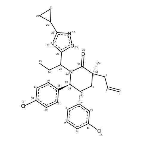 C=CC[C@@]1(C)C[C@H](c2cccc(Cl)c2)[C@@H](c2ccc(Cl)cc2)N(C(CC)c2nc(C3CC3)no2)C1=O